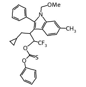 COCn1c(-c2ccccc2)c(C(CC2CC2)C(OC(=S)Oc2ccccc2)C(F)(F)F)c2ccc(C)cc21